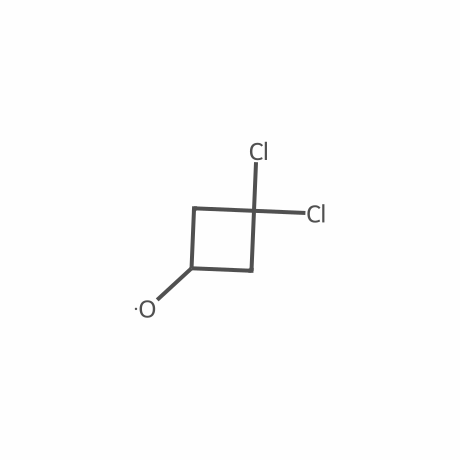 [O]C1CC(Cl)(Cl)C1